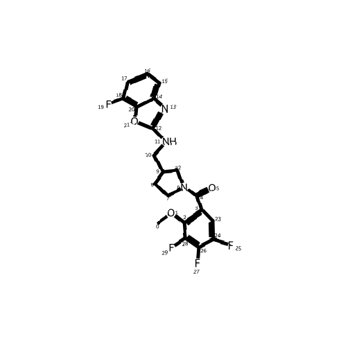 COc1c(C(=O)N2CCC(CNc3nc4cccc(F)c4o3)C2)cc(F)c(F)c1F